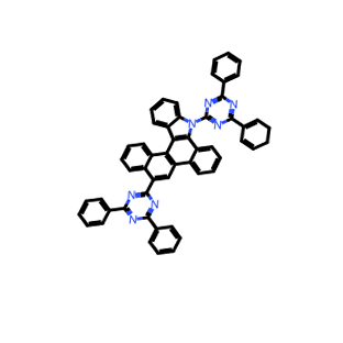 C1=CC(c2nc(-c3ccccc3)nc(-n3c4ccccc4c4c5c6ccccc6c(-c6nc(-c7ccccc7)nc(-c7ccccc7)n6)cc5c5ccccc5c43)n2)=CCC1